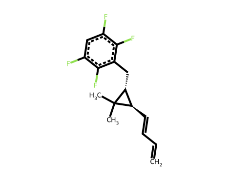 C=C/C=C/[C@@H]1[C@@H](Cc2c(F)c(F)cc(F)c2F)C1(C)C